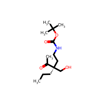 CCC[C@@](CO)(CCNC(=O)OC(C)(C)C)C(C)=O